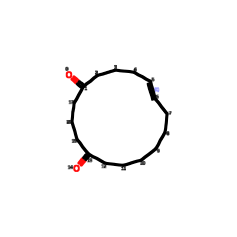 O=C1CCC/C=C/CCCCCCC(=O)CCC1